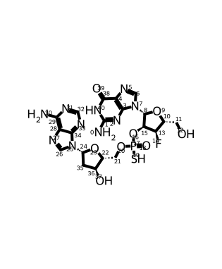 Nc1nc2c(ncn2[C@@H]2O[C@H](CO)[C@@H](F)[C@H]2OP(=O)(S)OC[C@H]2O[C@@H](n3cnc4c(N)ncnc43)C[C@@H]2O)c(=O)[nH]1